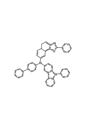 C1=CC2CC=c3nc(-c4ccccc4)oc3=C2C=C1N(c1ccc(-c2ccccc2)cc1)c1ccc2c(c1)c1ccccc1n2-c1ccccc1